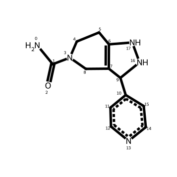 NC(=O)N1CCC2=C(C1)C(c1ccncc1)NN2